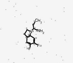 C[CH]C(N)N1CCc2cc(F)c(F)cc21